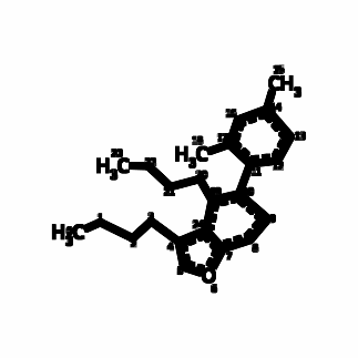 CCCCc1coc2ccc(-c3ccc(C)cc3C)c(CCCC)c12